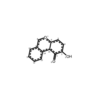 O=c1c(O)ccc2occ3ccccc3c1-2